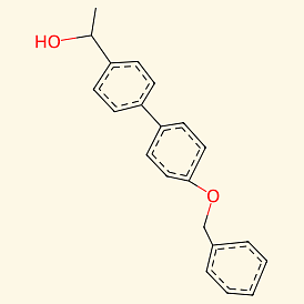 CC(O)c1ccc(-c2ccc(OCc3ccccc3)cc2)cc1